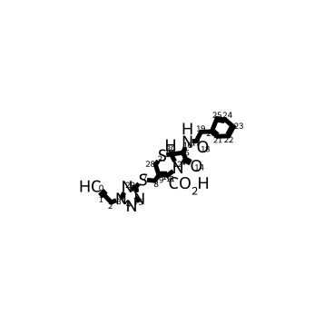 C#CCn1nnc(SCC2=C(C(=O)O)N3C(=O)C(NC(=O)Cc4ccccc4)[C@H]3SC2)n1